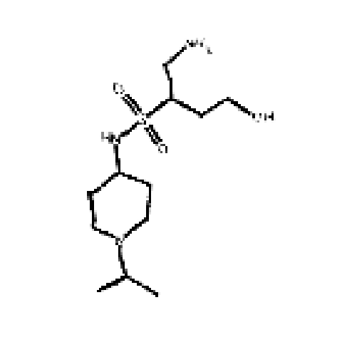 CC(C)N1CCC(NS(=O)(=O)C(CN)CCO)CC1